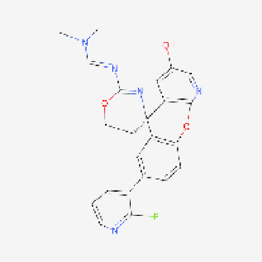 CN(C)/C=N/C1=N[C@]2(CCO1)c1cc(-c3cccnc3F)ccc1Oc1ncc(O)cc12